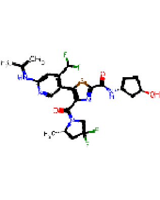 CC(Nc1cc(C(F)F)c(-c2sc(C(=O)N[C@@H]3CC[C@@H](O)C3)nc2C(=O)N2CC(F)(F)C[C@@H]2C)cn1)C(F)(F)F